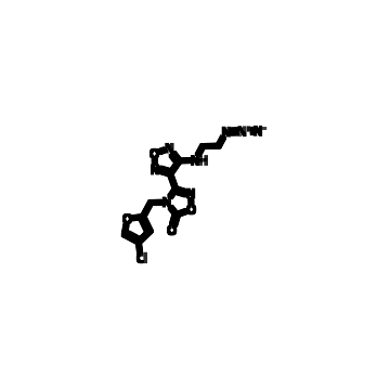 [N-]=[N+]=NCCNc1nonc1-c1noc(=O)n1Cc1cc(Cl)co1